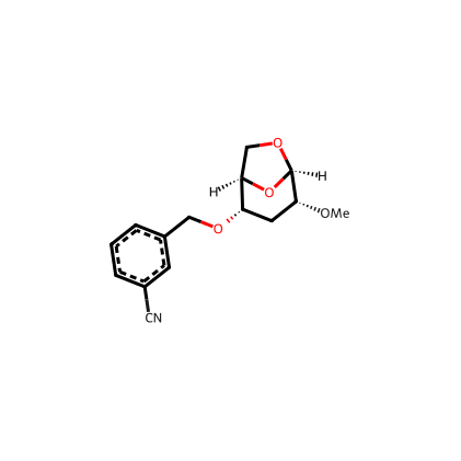 CO[C@@H]1C[C@H](OCc2cccc(C#N)c2)[C@H]2CO[C@@H]1O2